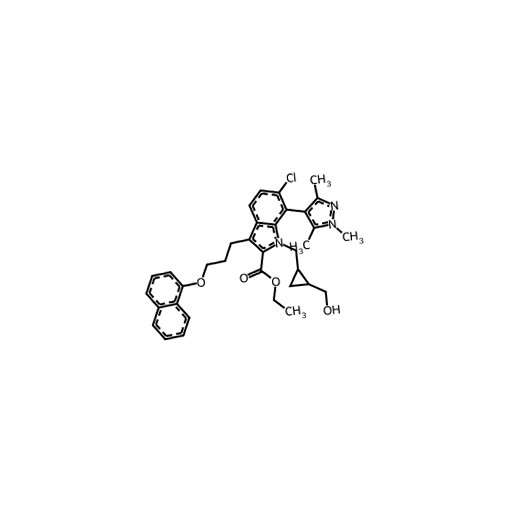 CCOC(=O)c1c(CCCOc2cccc3ccccc23)c2ccc(Cl)c(-c3c(C)nn(C)c3C)c2n1CC1CC1CO